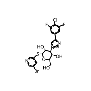 OC[C@H]1O[C@H](Sc2cncc(Br)c2)[C@H](O)[C@@H](n2cc(-c3cc(F)c(Cl)c(F)c3)nn2)[C@H]1O